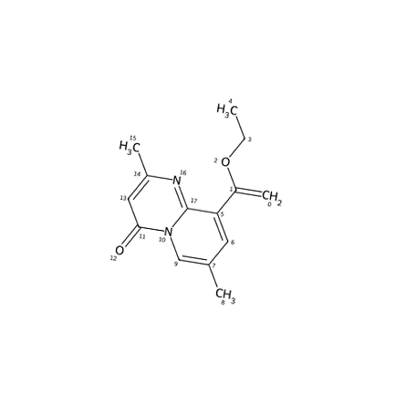 C=C(OCC)c1cc(C)cn2c(=O)cc(C)nc12